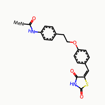 CNC(=O)Nc1ccc(CCOc2ccc(C=C3SC(=O)NC3=O)cc2)cc1